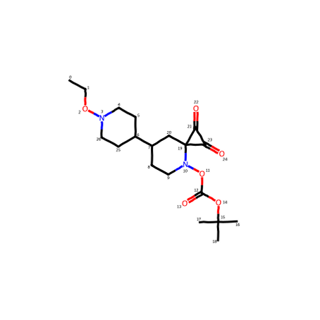 CCON1CCC(C2CCN(OC(=O)OC(C)(C)C)C3(C2)C(=O)C3=O)CC1